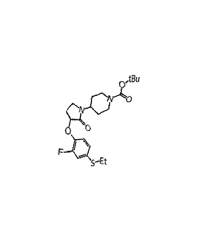 CCSc1ccc(OC2CCN(C3CCN(C(=O)OC(C)(C)C)CC3)C2=O)c(F)c1